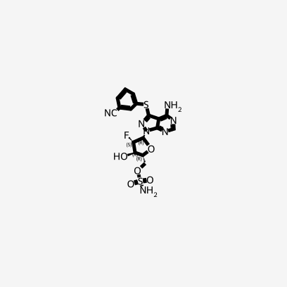 N#Cc1cccc(Sc2nn([C@@H]3O[C@H](COS(N)(=O)=O)[C@@H](O)[C@@H]3F)c3ncnc(N)c23)c1